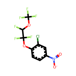 O=[N+]([O-])c1ccc(OC(F)(F)C(F)OC(F)(F)F)c(Cl)c1